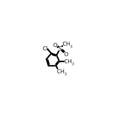 Cc1ccc(Cl)c(S(C)(=O)=O)c1C